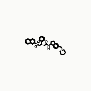 O=C(C[C@H](CS(=O)(=O)c1ccc2ccccc2c1)c1ccccc1)N[C@@H]1CCc2cc(CN3CCCCC3)ccc21